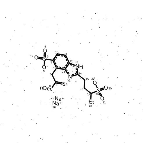 CCCCCCCCCCC(=S)Cc1c(S(=O)(=O)[O-])ccc2[nH]c(CCC(CC)S(=O)(=O)[O-])nc12.[Na+].[Na+]